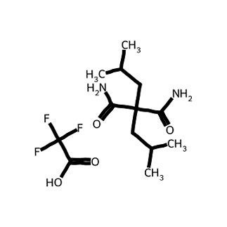 CC(C)CC(CC(C)C)(C(N)=O)C(N)=O.O=C(O)C(F)(F)F